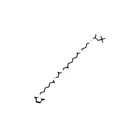 CC(CC(C)(C)C)SSCCCNC(O)CCCCC(=O)CNC(=O)CNC(=O)CCCCCN1C(=O)C=CC1=O